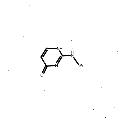 CC(C)Nc1nc(=O)c[c][nH]1